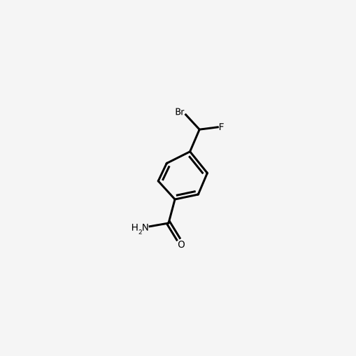 NC(=O)c1ccc(C(F)Br)cc1